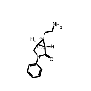 NCC[C@H]1[C@@H]2CN(c3ccccc3)C(=O)[C@@H]12